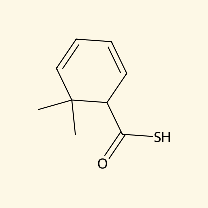 CC1(C)C=CC=CC1C(=O)S